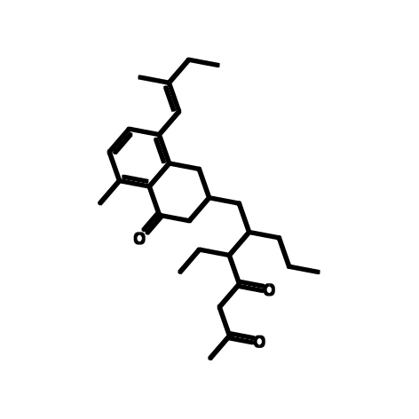 CCCC(CC1CC(=O)c2c(C)ccc(/C=C(\C)CC)c2C1)C(CC)C(=O)CC(C)=O